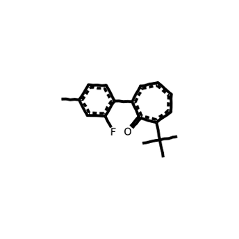 Cc1ccc(-c2ccccc(C(C)(C)C)c2=O)c(F)c1